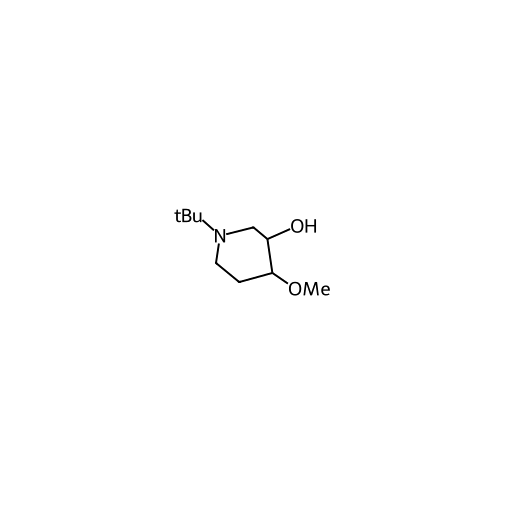 COC1CCN(C(C)(C)C)CC1O